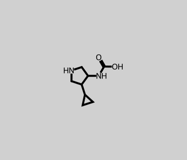 O=C(O)NC1CNCC1C1CC1